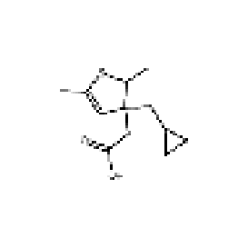 CC1=CC(CC(=O)O)(CC2CC2)C(C)S1